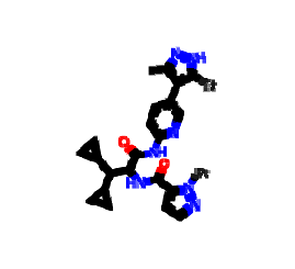 CCc1[nH]nc(C)c1-c1ccc(NC(=O)C(NC(=O)c2ccnn2C(C)C)C(C2CC2)C2CC2)nc1